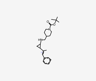 C/C(=C\c1ccccc1)C1CC1NCC1CCN(C(=O)OC(C)(C)C)CC1